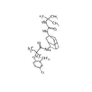 Cc1cc(Cl)ccc1OC(C)(C)C(=O)NC1C2CC3CC1CC(NC(=O)NC(C)(C)C)(C3)C2